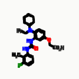 Cc1c(F)cccc1NC(=O)Nc1cc(OCC(=O)O)ccc1N(CC(C)C)C1CCCCC1